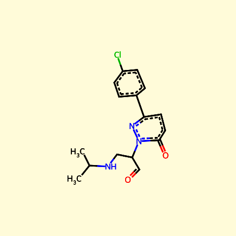 CC(C)NCC(C=O)n1nc(-c2ccc(Cl)cc2)ccc1=O